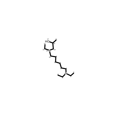 CCN(CC)CCCCCCN(CC)CC(C)O